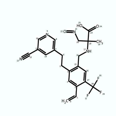 C=Cc1cc(CCc2cncc(C#N)c2)c(CNC(C)(CN=O)C(=O)O)cc1C(F)(F)F